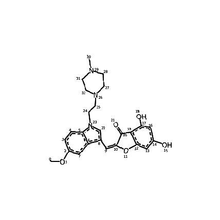 COc1ccc2c(c1)c(C=C1Oc3cc(O)cc(O)c3C1=O)cn2CCN1CCN(C)CC1